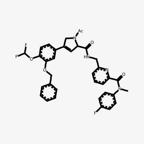 CC(=O)N1CC(c2ccc(OC(F)F)c(OCc3ccccc3)c2)=CC1C(=O)NCc1cccc(C(=O)N(C)c2ccc(F)cc2)n1